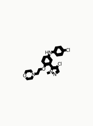 Cn1ncc(Cl)c1-c1cc(Nc2ccc(Cl)cc2)ccc1OCCN1CCOCC1